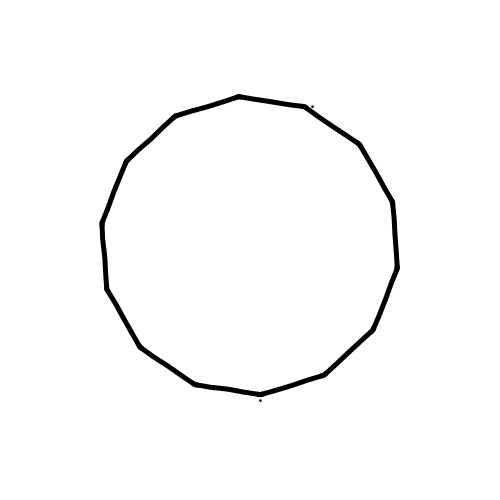 [CH]1CCCCC[CH]CCCCCCC1